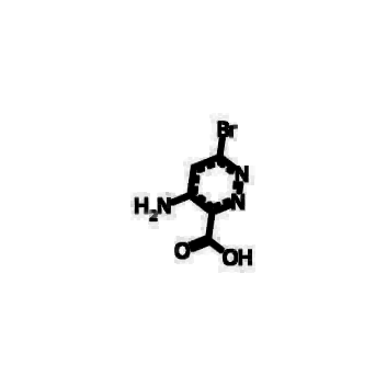 Nc1cc(Br)nnc1C(=O)O